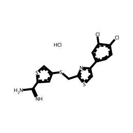 Cl.N=C(N)c1cc(SCc2nc(-c3ccc(Cl)c(Cl)c3)cs2)cs1